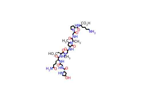 CC1C[C@H](NC(=O)CN(C)C(=O)[C@H](CC(=O)O)NC(=O)[C@H](CCCC(N)=O)NC(=O)CNC(=O)[C@@H]2C[C@@H](O)CN2)C(=O)N1[C@@H](C)C(=O)NCC(=O)N1CCC[C@H]1C(=O)N[C@@H](CCCCN)C(=O)O